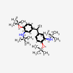 CCC(c1ccc(O[Si](C)(C)C)c(N[Si](C)(C)C)c1)c1ccc(O[Si](C)(C)C)c(N[Si](C)(C)C)c1